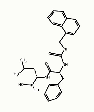 CC(C)C[C@H](NC(=O)[C@H](Cc1ccccc1)NC(=O)NCc1cccc2ccccc12)B(O)O